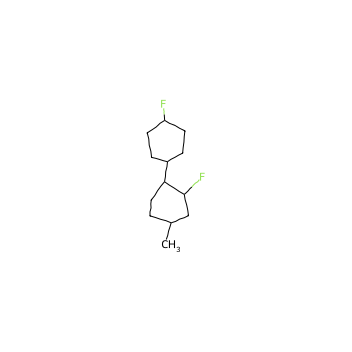 CC1CCC(C2CCC(F)CC2)C(F)C1